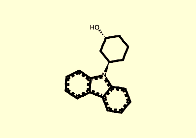 O[C@@H]1CCC[C@@H](n2c3ccccc3c3ccccc32)C1